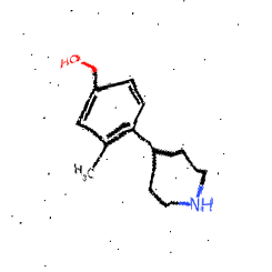 Cc1cc(O)ccc1C1CCNCC1